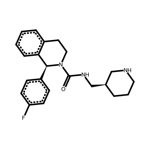 O=C(NC[C@@H]1CCCNC1)N1CCc2ccccc2[C@@H]1c1ccc(F)cc1